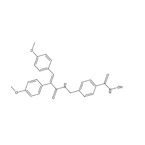 COc1ccc(/C=C(/C(=O)NCc2ccc(C(=O)NO)cc2)c2ccc(OC)cc2)cc1